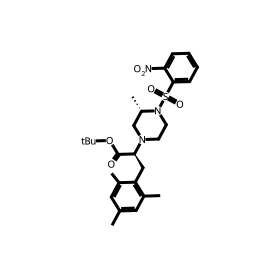 Cc1cc(C)c(C[C@@H](C(=O)OC(C)(C)C)N2CCN(S(=O)(=O)c3ccccc3[N+](=O)[O-])[C@@H](C)C2)c(C)c1